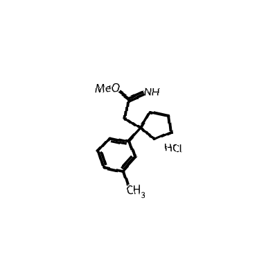 COC(=N)CC1(c2cccc(C)c2)CCCC1.Cl